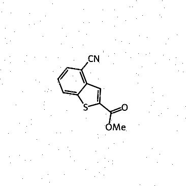 COC(=O)c1cc2c(C#N)cccc2s1